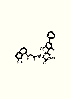 COC(=O)[C@H](CNC(=O)CN[C@H]1CCOc2ccc([N+](=O)[O-])cc21)NC(=O)c1c(Cl)cc(-c2ccccc2)cc1Cl